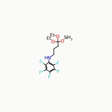 CCOC(CCCNc1c(F)c(F)c(F)c(F)c1F)(O[SiH3])OCC